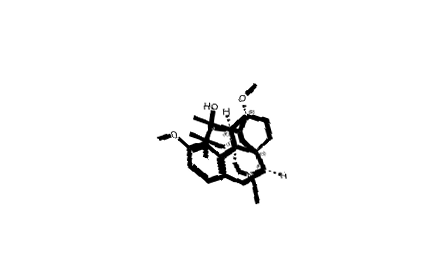 COc1ccc2c3c1O[C@@H]1[C@]34CCN(C)[C@H](C2)[C@]42CC[C@@]1(OC)C(C(C)(O)C(C)(C)C)C2